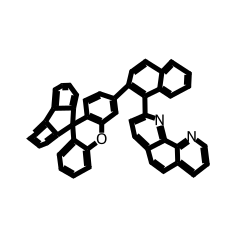 c1ccc2c(c1)Oc1cc(-c3ccc4ccccc4c3-c3ccc4ccc5cccnc5c4n3)ccc1C21c2ccccc2-c2ccccc21